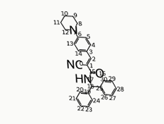 N#C/C(=C\c1ccc(N2CCCCC2)cc1)C(=O)NC(c1ccccc1)c1ccccc1